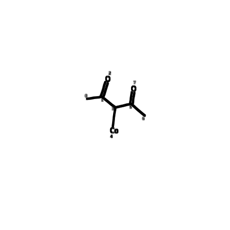 CC(=O)[CH]([Co])C(C)=O